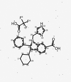 O=C(O)C(F)(F)F.O=C(O)c1ccc2c(C3CCCCC3)c(-c3ccccc3)n(Cc3c[nH]cn3)c2c1